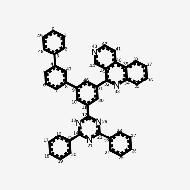 c1ccc(-c2cccc(-c3cc(-c4nc(-c5ccccc5)nc(-c5ccccc5)n4)cc(-c4nc5ccccc5c5ccncc45)c3)c2)cc1